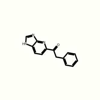 O=C(Cc1ccccc1)c1ccc2[nH]cnc2n1